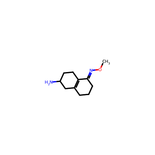 CON=C1CCCC2=C1CCC(N)C2